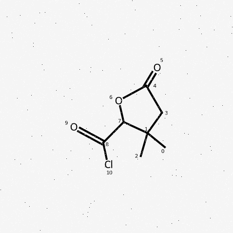 CC1(C)CC(=O)OC1C(=O)Cl